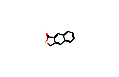 O=C1OCc2cc3ccccc3cc21